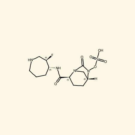 O=C(N[C@@H]1CCCNC[C@H]1F)[C@@H]1CC[C@@H]2CN1C(=O)N2OS(=O)(=O)O